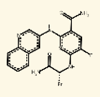 CC[C@@H](Nc1nc(Nc2cnc3ccccc3c2)c(C(N)=O)cc1F)C(N)=O